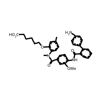 COc1cc(C(=O)N(C)c2ccc(C)cc2OCCCCCC(=O)O)ccc1NC(=O)c1ccccc1-c1ccc(N)cc1